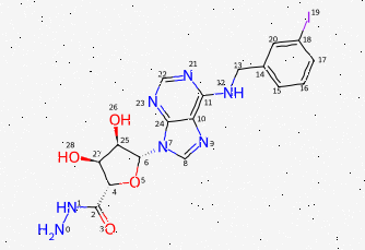 NNC(=O)[C@H]1O[C@@H](n2cnc3c(NCc4cccc(I)c4)ncnc32)[C@H](O)[C@@H]1O